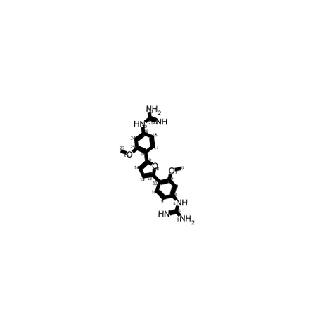 COc1cc(NC(=N)N)ccc1-c1ccc(-c2ccc(NC(=N)N)cc2OC)o1